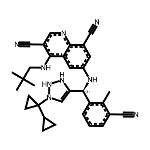 Cc1c(C#N)cccc1[C@H](Nc1cc(C#N)c2ncc(C#N)c(NCC(C)(C)C)c2c1)C1=CN(C2(C3CC3)CC2)NN1